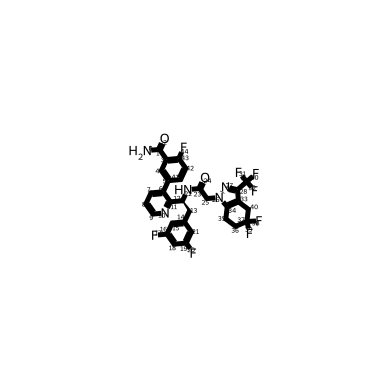 NC(=O)c1cc(-c2cccnc2[C@H](Cc2cc(F)cc(F)c2)NC(=O)Cn2nc(C(F)(F)F)c3c2CCC(F)(F)C3)ccc1F